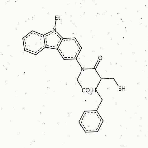 CCn1c2ccccc2c2cc(N(CC(=O)O)C(=O)C(CS)CCc3ccccc3)ccc21